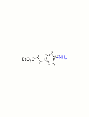 CCOC(=O)CCc1ccc(N)cc1